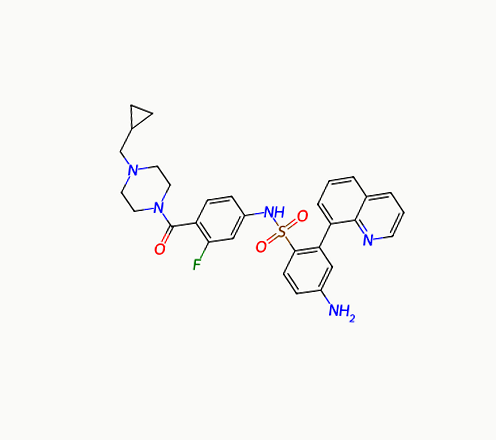 Nc1ccc(S(=O)(=O)Nc2ccc(C(=O)N3CCN(CC4CC4)CC3)c(F)c2)c(-c2cccc3cccnc23)c1